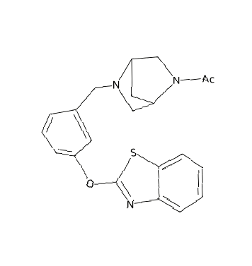 CC(=O)N1CC2CC1CN2Cc1cccc(Oc2nc3ccccc3s2)c1